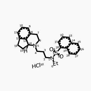 CCN(CCCN1CCc2cccc3c2[C@H]1CC3)S(=O)(=O)c1cccc2ccccc12.Cl